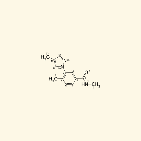 CNC(=O)c1ccc(C)c(-n2cc(C)cn2)c1